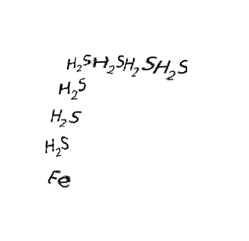 S.S.S.S.S.S.S.[Fe]